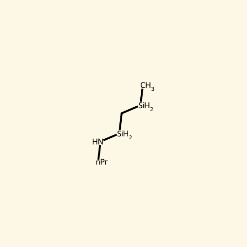 CCCN[SiH2]C[SiH2]C